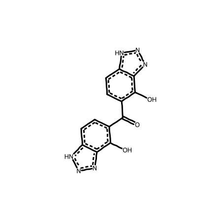 O=C(c1ccc2[nH]nnc2c1O)c1ccc2[nH]nnc2c1O